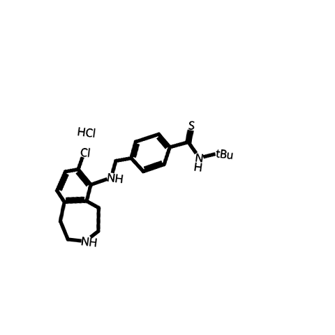 CC(C)(C)NC(=S)c1ccc(CNc2c(Cl)ccc3c2CCNCC3)cc1.Cl